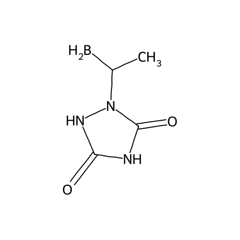 BC(C)n1[nH]c(=O)[nH]c1=O